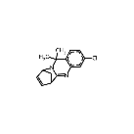 CC1(C)c2ccc(Cl)cc2N=C2C3C=CC(C3)N21